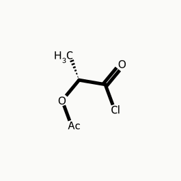 CC(=O)O[C@H](C)C(=O)Cl